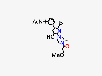 COCCC(=O)N1CCN(c2nc(C3CC3)c(-c3cccc(NC(C)=O)c3)cc2C#N)CC1C